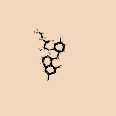 Cc1cc(Cl)c2c(Nc3ccc(F)cc3O[C@H](C)C(=O)NCC(F)(F)F)ncnc2c1